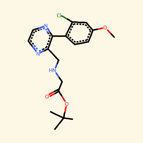 COc1ccc(-c2nccnc2CNCC(=O)OC(C)(C)C)c(Cl)c1